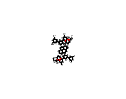 Cc1cc(C)cc(-c2ccc(N(C3=C4C=CC5=C6C(=CC=C(C=C3)C46)C(N(c3ccc(C(F)(F)F)cc3)c3ccc(-c4cc(C)cc(C)c4)cc3-c3cc(C)cc(C)c3)C=C5)c3ccc(C(F)(F)F)cc3)c(-c3cc(C)cc(C)c3)c2)c1